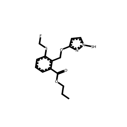 CCCOC(=O)c1cccc(SCF)c1COc1ccn(S)n1